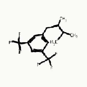 CC(C)C(C)Cc1cc(C(F)(F)F)cc(C(F)(F)F)c1